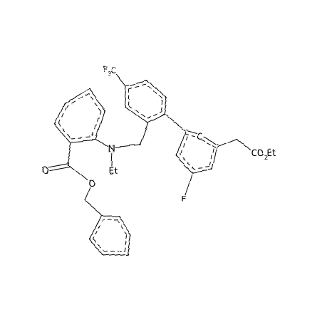 CCOC(=O)Cc1cc(F)cc(-c2ccc(C(F)(F)F)cc2CN(CC)c2ccccc2C(=O)OCc2ccccc2)c1